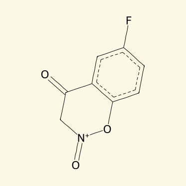 O=C1C[N+](=O)Oc2ccc(F)cc21